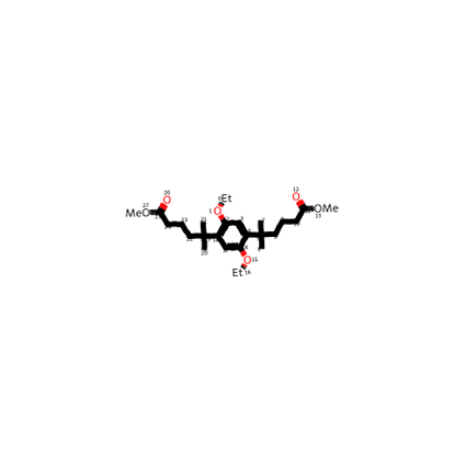 CCOc1cc(C(C)(C)CCCC(=O)OC)c(OCC)cc1C(C)(C)CCCC(=O)OC